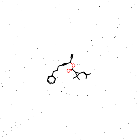 C#CC(C#CCCCc1ccccc1)OC(=O)C1C(C=C(C)C)C1(C)C